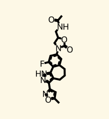 CC(=O)NCC1CN(c2cc(F)c3c(c2)CCCc2c(-c4cc(C)on4)n[nH]c2-3)C(=O)O1